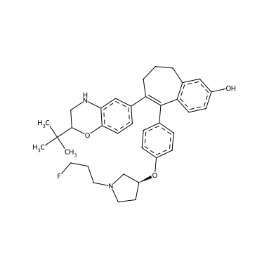 CC(C)(C)C1CNc2cc(C3=C(c4ccc(O[C@H]5CCN(CCCF)C5)cc4)c4ccc(O)cc4CCC3)ccc2O1